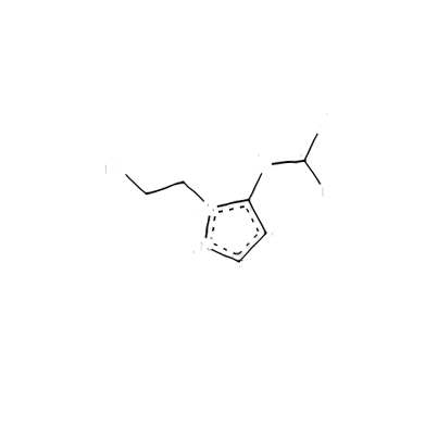 CCCn1n[c]cc1SC(F)F